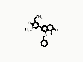 CCc1cc(-c2cc3c(c(OCC4CCCCC4)c2)NC(=O)CC3)cn(C)c1=O